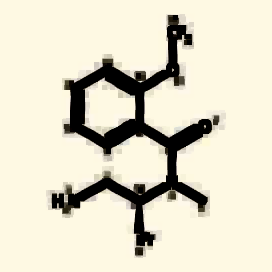 CC(C)[C@@H](CN)N(C)C(=O)c1ccccc1OC(F)(F)F